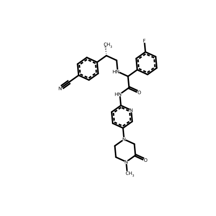 C[C@H](CNC(C(=O)Nc1ccc(N2CCN(C)C(=O)C2)cn1)c1cccc(F)c1)c1ccc(C#N)cc1